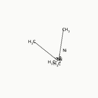 CCCCCCCCCCCCCCCCCCCCCCCCCCCCC=Cc1ccc(N=C(CCCC)C(CCCCCC)=Nc2ccc(C=CCCCCCCCCCCCCCCCCCCCCCCCCCCCC)cc2)cc1.[Ni]